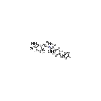 C=C(/C(O)=C(/c1nc2cc(C(N)=O)ccc2[nH]1)N(C)C)c1ccc(Cn2ccnn2)cc1